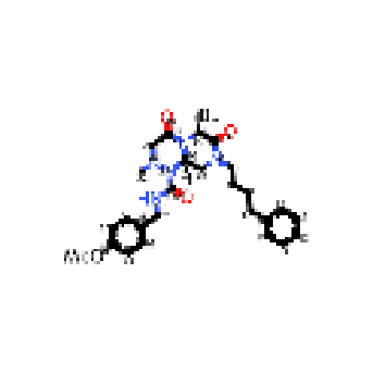 CCC(C)[C@H]1C(=O)N(CCCCc2ccccc2)C[C@H]2N1C(=O)CN(C)N2C(=O)NCc1ccc(OC)cc1